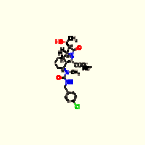 CC(O)[C@H]1C(=O)N2C(C(=O)[O-])=C3[C@H](CCC[C@@H]3N(C)C(=O)NCc3ccc(Cl)cc3)[C@H]12.[Na+]